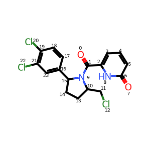 O=C(c1cccc(=O)[nH]1)N1C(CCl)CCC1c1ccc(Cl)c(Cl)c1